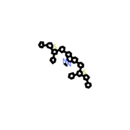 c1ccc(-c2ccc3sc4c(-c5cccc(-c6ccc7c8ccc(-c9cccc(-c%10cc(-c%11ccccc%11)cc%11c%10sc%10ccc(-c%12ccccc%12)cc%10%11)c9)cc8c8nccnc8c7c6)c5)cc(-c5ccccc5)cc4c3c2)cc1